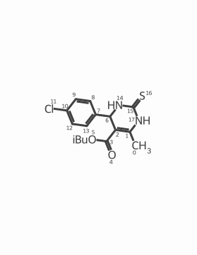 CC1=C(C(=O)OCC(C)C)C(c2ccc(Cl)cc2)NC(=S)N1